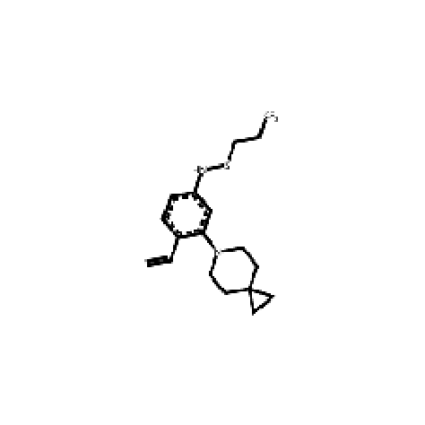 C=Cc1ccc(NSCCC(F)(F)F)cc1N1CCC2(CC1)CC2